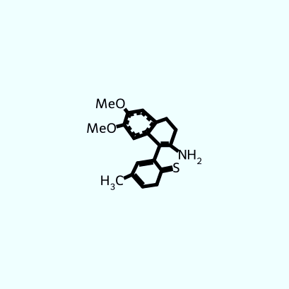 COc1cc2c(cc1OC)C(C1=CC(C)=CCC1=S)=C(N)CC2